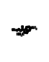 CC(C)(C)CCOC(=O)n1c(C(=O)O)cc2cc(N)ccc21